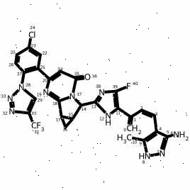 C=C(/C=C\c1c(N)n[nH]c1C)c1[nH]c(C2C3CC3c3nc(-c4cc(Cl)ccc4-n4cc(C(F)(F)F)nn4)cc(=O)n32)nc1F